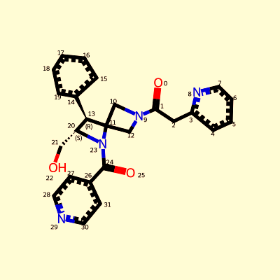 O=C(Cc1ccccn1)N1CC2(C1)[C@H](c1ccccc1)[C@@H](CO)N2C(=O)c1ccncc1